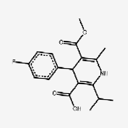 COC(=O)C1=C(C)NC(C(C)C)=C(C(=O)O)C1c1ccc(F)cc1